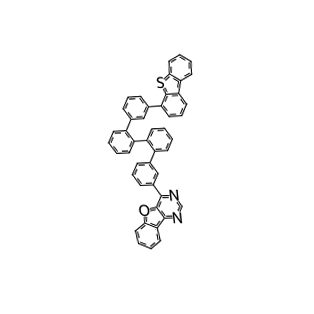 c1cc(-c2ccccc2-c2ccccc2-c2cccc(-c3cccc4c3sc3ccccc34)c2)cc(-c2ncnc3c2oc2ccccc23)c1